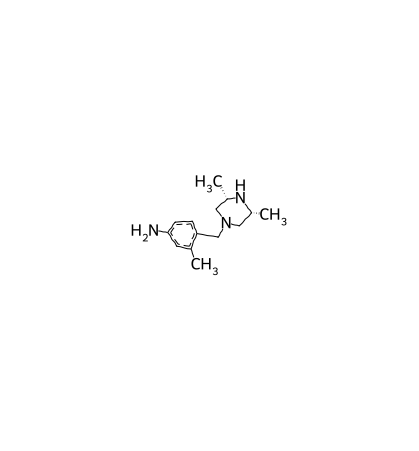 Cc1cc(N)ccc1CN1C[C@@H](C)N[C@@H](C)C1